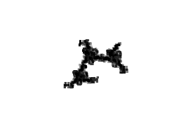 CCCCn1c(=O)n(CCCS)c(=O)n(CCCSCCCn2c(=O)n(CCCS)c(=O)n(CCCSCCCn3c(=O)n(CCCS)c(=O)n(CCCS)c3=O)c2=O)c1=O